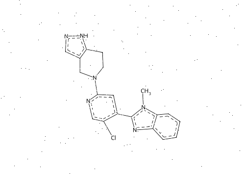 Cn1c(-c2cc(N3CCc4[nH]ncc4C3)ncc2Cl)nc2ccccc21